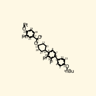 CCCCOc1ccc(-c2ccc(C3CCC(OC(=O)c4ccc(OCC)c(F)c4)CC3)c(F)c2F)cc1